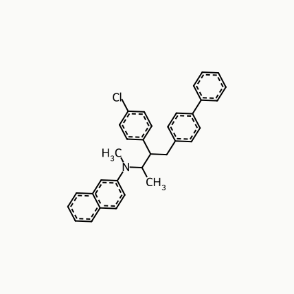 CC(C(Cc1ccc(-c2ccccc2)cc1)c1ccc(Cl)cc1)N(C)c1ccc2ccccc2c1